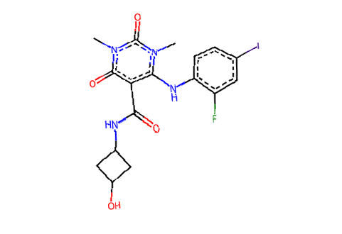 Cn1c(Nc2ccc(I)cc2F)c(C(=O)NC2CC(O)C2)c(=O)n(C)c1=O